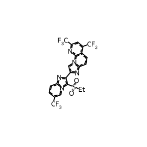 CCS(=O)(=O)c1c(-c2cn3c(ccc4c(C(F)(F)F)cc(C(F)(F)F)nc43)n2)nc2ccc(C(F)(F)F)cn12